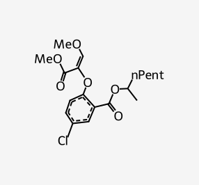 CCCCCC(C)OC(=O)c1cc(Cl)ccc1OC(=COC)C(=O)OC